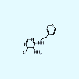 Nc1c(Cl)ncnc1NCCc1ccncc1